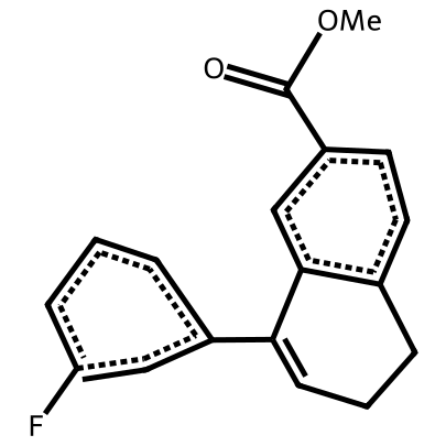 COC(=O)c1ccc2c(c1)C(c1cccc(F)c1)=CCC2